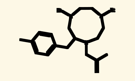 C=C(C)CN1CCN(CC)CCN(CC)CC1Cc1ccc(C)cc1